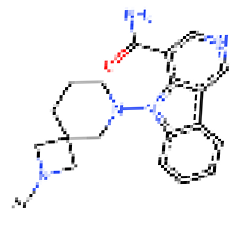 CC(=O)N1CC2(CCCN(n3c4ccccc4c4cncc(C(N)=O)c43)C2)C1